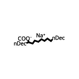 CCCCCCCCCCCCCCCCCC(CCCCCCCCCC)C(=O)[O-].[Na+]